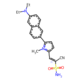 CCN(CC)c1ccc2cc(-c3ccc(/C=C(\C#N)S(N)(=O)=O)n3C)ccc2c1